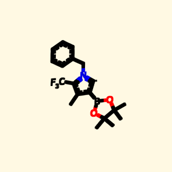 Cc1c(B2OC(C)(C)C(C)(C)O2)[c]n(Cc2ccccc2)c1C(F)(F)F